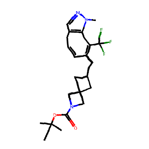 Cn1ncc2ccc(CC3CC4(C3)CN(C(=O)OC(C)(C)C)C4)c(C(F)(F)F)c21